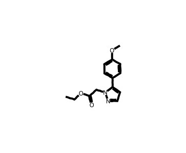 CCOC(=O)Cn1nccc1-c1ccc(OC)cc1